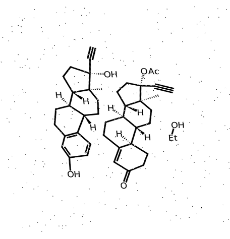 C#C[C@]1(O)CC[C@H]2[C@@H]3CCc4cc(O)ccc4[C@H]3CC[C@@]21C.C#C[C@]1(OC(C)=O)CC[C@H]2[C@@H]3CCC4=CC(=O)CC[C@@H]4[C@H]3CC[C@@]21C.CCO